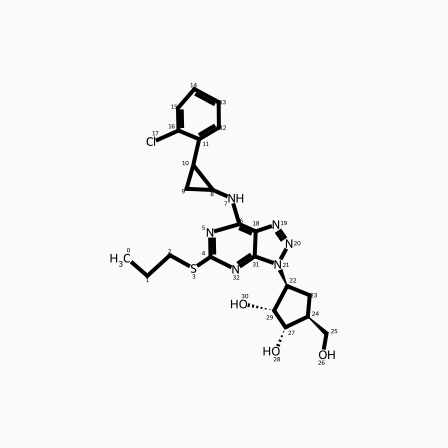 CCCSc1nc(NC2CC2c2ccccc2Cl)c2nnn([C@H]3C[C@@H](CO)[C@H](O)[C@@H]3O)c2n1